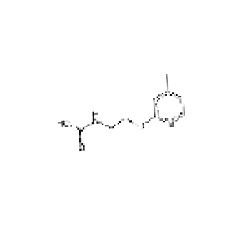 Cc1ccnc(OCCNC(=O)O)c1